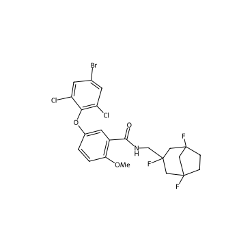 COc1ccc(Oc2c(Cl)cc(Br)cc2Cl)cc1C(=O)NCC1(F)CC2(F)CCC(F)(C2)C1